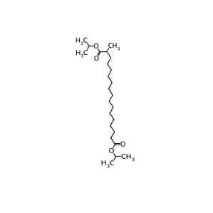 CC(C)OC(=O)CCCCCCCCCCCCCCC(C)C(=O)OC(C)C